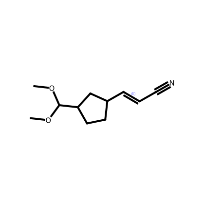 COC(OC)C1CCC(/C=C/C#N)C1